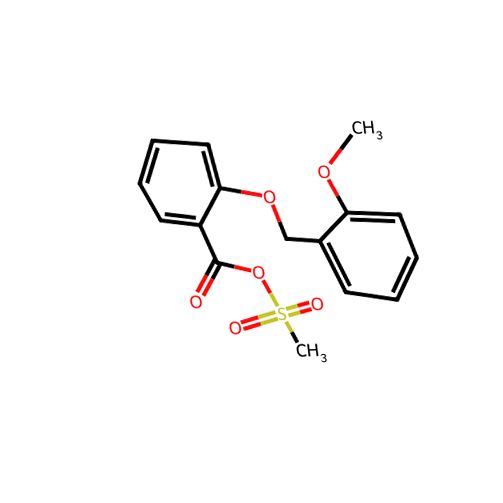 COc1ccccc1COc1ccccc1C(=O)OS(C)(=O)=O